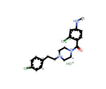 CCNc1ccc(C(=O)N2CCN(CCc3ccc(Cl)cc3)CC2)c(Cl)c1.Cl